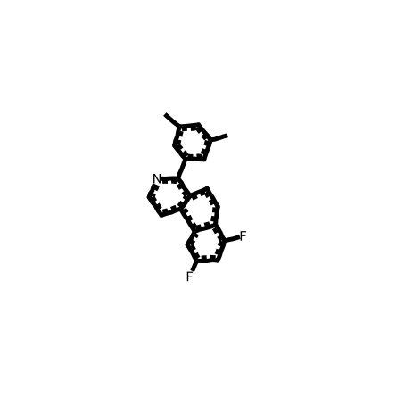 Cc1cc(C)cc(-c2nccc3c2ccc2c(F)cc(F)cc23)c1